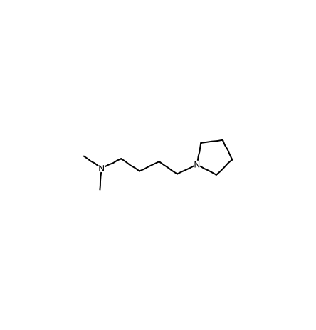 CN(C)CCCCN1CCCC1